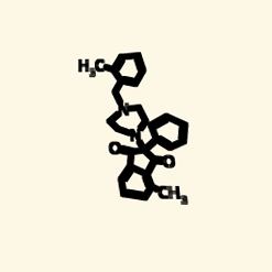 Cc1ccccc1CN1CCN(C2(c3ccccc3)C(=O)c3cccc(C)c3C2=O)CC1